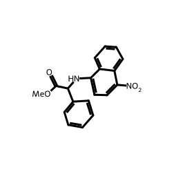 COC(=O)C(Nc1ccc([N+](=O)[O-])c2ccccc12)c1ccccc1